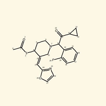 CC(=O)SC1CCN(C(C(=O)C2CC2)c2ccccc2F)C/C1=C\c1ncco1